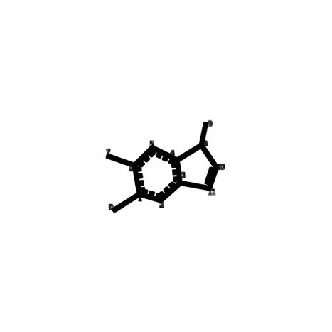 Cc1cc2c(cc1C)C(C)C=C2